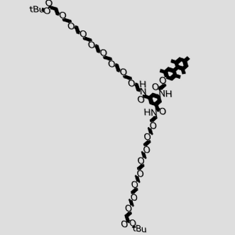 Cc1cc(C)c(-c2cc(C)c(OCC(=O)Nc3cc(C(=O)NCCOCCOCCOCCOCCOCCOCCOCCOCCC(=O)OC(C)(C)C)cc(C(=O)NCCOCCOCCOCCOCCOCCOCCOCCOCCC(=O)OC(C)(C)C)c3)cc2C)c(C)c1